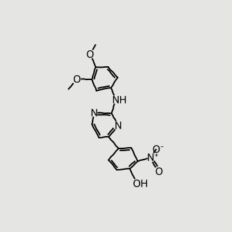 COc1ccc(Nc2nccc(-c3ccc(O)c([N+](=O)[O-])c3)n2)cc1OC